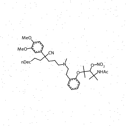 CCCCCCCCCCCCC(C#N)(CCCN(C)CCc1ccccc1OC(C)(C)C(O[N+](=O)[O-])C(C)(C)NC(C)=O)c1ccc(OC)c(OC)c1